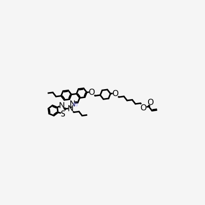 C=CC(=O)OCCCCCCOC1CCC(COc2ccc(-c3ccc(CCC)cc3)c(/C=N/N(CCCC)c3nc4ccccc4s3)c2)CC1